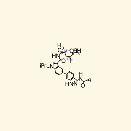 C#C/C(F)=C\C(=C/C)[C@H](C)NC(=O)c1cn(CC(C)C)c2ccc(-c3ccc4c(NC(=O)C5CC5)n[nH]c4c3)cc12